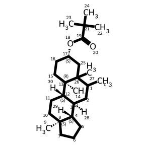 CC1C[C@H]2[C@@H]3CCC[C@@]3(C)CC[C@@H]2[C@@]2(C)CC[C@H](OC(=O)C(C)(C)C)CC12C